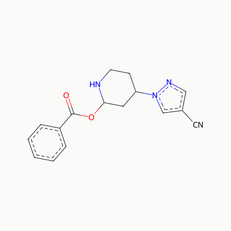 N#Cc1cnn(C2CCNC(OC(=O)c3ccccc3)C2)c1